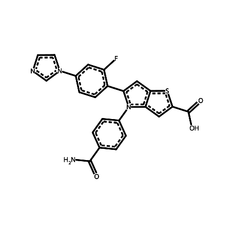 NC(=O)c1ccc(-n2c(-c3ccc(-n4ccnc4)cc3F)cc3sc(C(=O)O)cc32)cc1